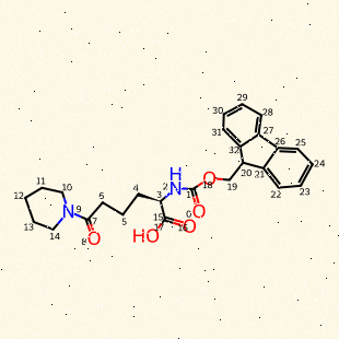 O=C(N[C@H](CCCC(=O)N1CCCCC1)C(=O)O)OCC1c2ccccc2-c2ccccc21